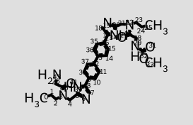 CCCN(Cc1ncc(-c2ccc(-c3ccc(-c4cnc(CN(CCC)C(=O)CNC(=O)OC)[nH]4)cc3)cc2)[nH]1)C(=O)CN